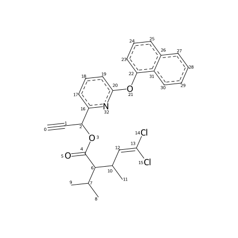 C#CC(OC(=O)C(C(C)C)C(C)C=C(Cl)Cl)c1cccc(Oc2cccc3ccccc23)n1